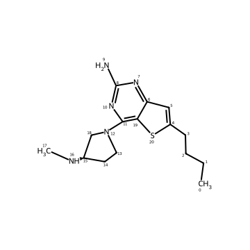 CCCCc1cc2nc(N)nc(N3CC[C@@H](NC)C3)c2s1